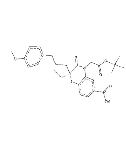 CC[C@@]1(CCCc2ccc(OC)cc2)Sc2ccc(C(=O)O)cc2N(CC(=O)OC(C)(C)C)C1=O